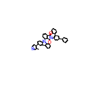 Cc1cnccc1-c1ccc2c(c1)c1ccccc1n2-c1cccc2c1C(=O)N(c1ccc(-c3ccccc3)cc1-c1ccccc1)C2=O